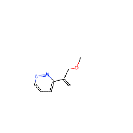 C=C(COC)c1cccnn1